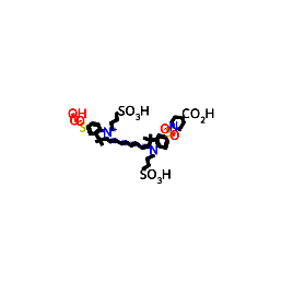 CC1(C)C(/C=C/C=C/C=C/C=C2/N(CCCCS(=O)(=O)O)c3ccc(S(=O)(=O)N4CCC(C(=O)O)CC4)cc3C2(C)C)=[N+](CCCCS(=O)(=O)O)c2ccc(SOOO)cc21